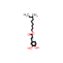 CCC(C)CCCCCCOC(=O)/C=C/c1ccc(O)c(O)c1